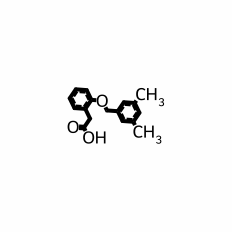 Cc1cc(C)cc(COc2ccccc2CC(=O)O)c1